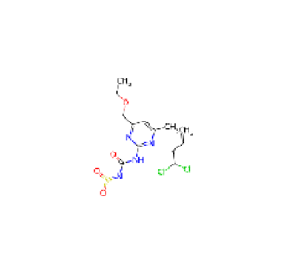 C=CCC(Cl)Cl.CCOCc1cc(C)nc(NC(=O)N=S(=O)=O)n1